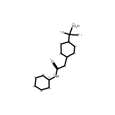 O=C(CC1CCC(C(F)(F)S(=O)(=O)O)CC1)NC1CCCCC1